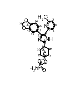 Cc1cccc(-c2[nH]c(C34CCC(OS(N)(=O)=O)(CC3)CC4)nc2-c2ccc3c(c2)OCO3)n1